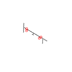 CCCCCC(CCCCC)CCOC(=O)CCCCCCCC(CCCCCCCC(=O)OCCC(CCCCC)CCCCC)C(C)C